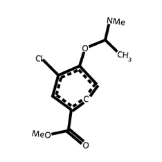 CNC(C)Oc1ccc(C(=O)OC)cc1Cl